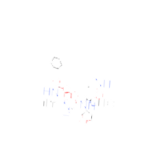 CC(C)C(NC(=O)OCc1ccccc1)C(=O)N[C@@H](Cc1ccco1)C(=O)N[C@H](C=O)C[C@@H]1CCNC1=O